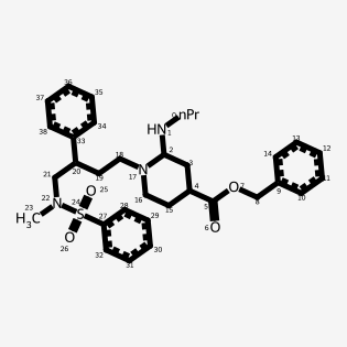 CCCNC1CC(C(=O)OCc2ccccc2)CCN1CCC(CN(C)S(=O)(=O)c1ccccc1)c1ccccc1